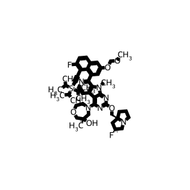 COCOc1cc(-c2nccc3c4c(N5CCOC[C@@](C)(O)C5)nc(OC[C@@]56CCCN5C[C@H](F)C6)nc4n(C)c23)c2c(C#C[Si](C(C)C)(C(C)C)C(C)C)c(F)ccc2c1